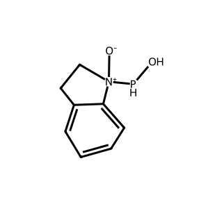 [O-][N+]1(PO)CCc2ccccc21